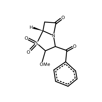 COC1C(C(=O)c2ccccc2)N2C(=O)C[C@H]2S1(=O)=O